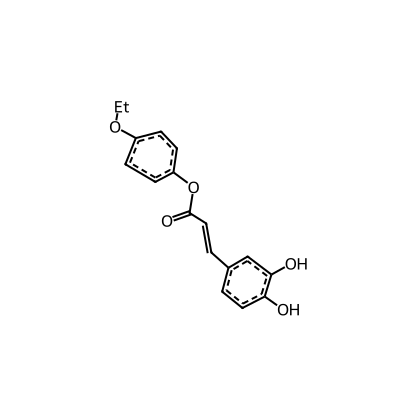 CCOc1ccc(OC(=O)/C=C/c2ccc(O)c(O)c2)cc1